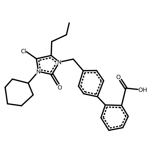 CCCc1c(Cl)n(C2CCCCC2)c(=O)n1Cc1ccc(-c2ccccc2C(=O)O)cc1